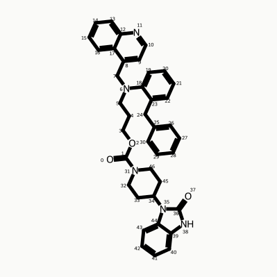 O=C(OCCCN(Cc1ccnc2ccccc12)c1ccccc1Cc1ccccc1)N1CCC(n2c(=O)[nH]c3ccccc32)CC1